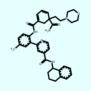 NC(=O)C1(CCN2CCOCC2)C=CC=C(C(=O)Nc2ccc(C(F)(F)F)cc2-c2cc(C(=O)NC3CCCc4ccccc43)ccn2)C1